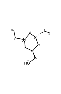 CC[C@@H]1C[C@@H](CO)CN(CC)C1